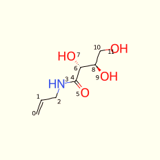 C=CCNC(=O)[C@H](O)[C@H](O)CO